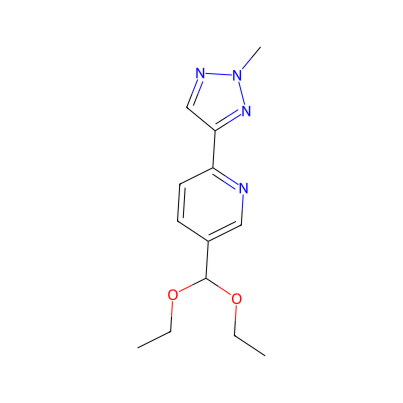 CCOC(OCC)c1ccc(-c2cnn(C)n2)nc1